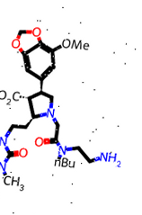 CCCCN(CCN)C(=O)CN1C[C@H](c2cc(OC)c3c(c2)OCO3)[C@@H](C(=O)O)[C@@H]1CCN1CCCN(C)C1=O